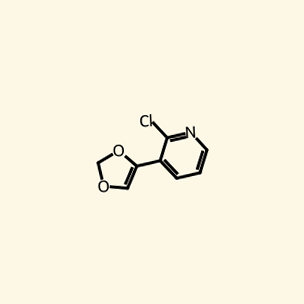 Clc1ncccc1C1=COCO1